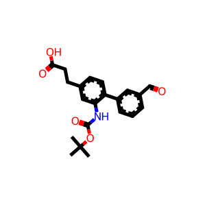 CC(C)(C)OC(=O)Nc1cc(CCC(=O)O)ccc1-c1cccc(C=O)c1